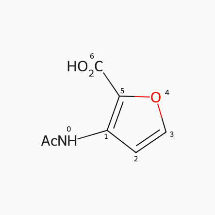 CC(=O)Nc1ccoc1C(=O)O